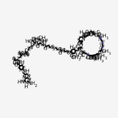 CO[C@H]1C[C@@H]2CC[C@@H](C)[C@@](O)(O2)C(=O)C(=O)N2CCCC[C@H]2C(=O)O[C@H]([C@H](C)C[C@@H]2CC[C@@H](OCCOC(=O)OCCSSCCC(=O)NC[C@H](NC(C)=O)C(=O)N[C@@H](CSSCCOC(=O)NNC(=O)CC[C@H](NC(=O)c3ccc(NCc4cnc5nc(N)[nH]c(=N)c5n4)cc3)C(=O)O)C(=O)O)[C@H](OC)C2)CC(=O)[C@H](C)/C=C(\C)[C@@H](O)[C@@H](OC)C(=O)[C@H](C)C[C@H](C)/C=C/C=C/C=C/1C